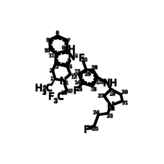 C[C@@H]1Cc2c([nH]c3ccccc23)[C@H](c2c(F)cc(N[C@H]3CCN(CCCF)C3)cc2F)N1CC(F)(F)F